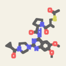 COc1cc2nc(N3CCN(C(=O)C4CC4)CC3)nc(NC(=O)C3CCCN3C(=O)C(C)CSC(C)=O)c2cc1OC